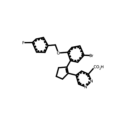 O=C(O)c1cc(C2=C(c3cc(Br)ccc3OCc3ccc(F)cc3)CCC2)cnn1